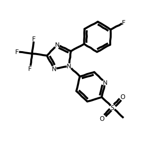 CS(=O)(=O)c1ccc(-n2nc(C(F)(F)F)nc2-c2ccc(F)cc2)cn1